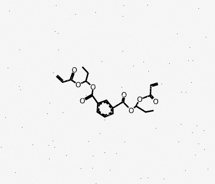 C=CC(=O)OC(CC)OC(=O)c1cccc(C(=O)OC(CC)OC(=O)C=C)c1